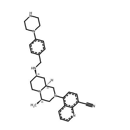 C[C@@H]1CN(c2ccc(C#N)c3ncccc23)C[C@@H]2C[C@H](NCc3ccc(N4CCNCC4)cc3)CCN21